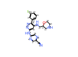 N#Cc1cnc(Nc2cc(NCC3CNCCO3)c(-c3cccc(F)c3)nn2)cn1